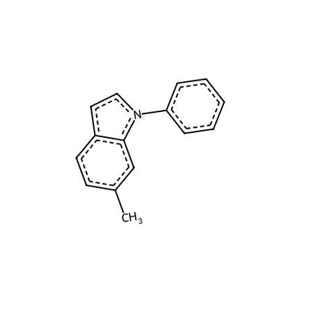 Cc1ccc2ccn(-c3ccccc3)c2c1